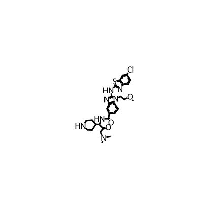 COCCn1c(Nc2nc3ccc(Cl)cc3s2)nc2cc(C(=O)NC(C(=O)CN(C)C)C3CCNCC3)ccc21